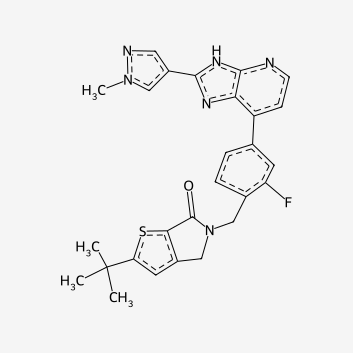 Cn1cc(-c2nc3c(-c4ccc(CN5Cc6cc(C(C)(C)C)sc6C5=O)c(F)c4)ccnc3[nH]2)cn1